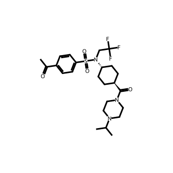 CC(=O)c1ccc(S(=O)(=O)N(CC(F)(F)F)[C@H]2CC[C@H](C(=O)N3CCN(C(C)C)CC3)CC2)cc1